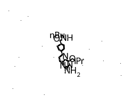 CCCCNC(=O)c1ccc(-c2ccc3nc(N)nc(OC(C)C)c3n2)cc1